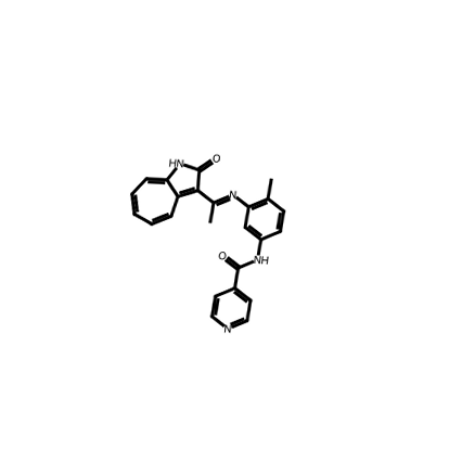 C/C(=N\c1cc(NC(=O)c2ccncc2)ccc1C)c1c2cccccc-2[nH]c1=O